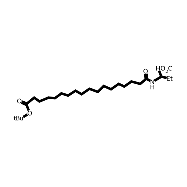 CCC(NC(=O)CCCCCCCCCCCCCCCCC(=O)OC(C)(C)C)C(=O)O